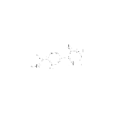 C=NN(C)c1ccc(C2=NCCNC2=O)cc1C